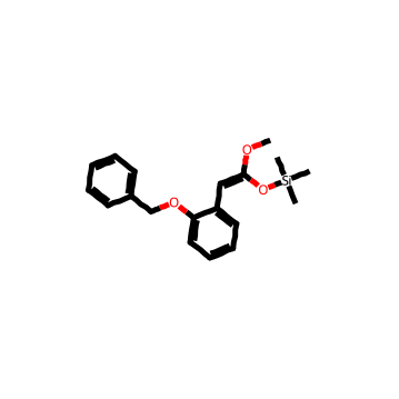 COC(=Cc1ccccc1OCc1ccccc1)O[Si](C)(C)C